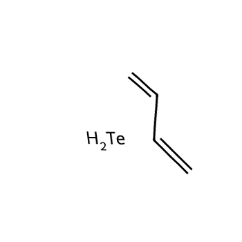 C=CC=C.[TeH2]